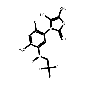 Cc1cc(F)c(-n2c(C)c(C)sc2=N)cc1[S+]([O-])CC(F)(F)F